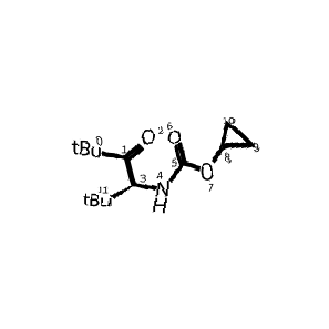 CC(C)(C)C(=O)[C@@H](NC(=O)OC1CC1)C(C)(C)C